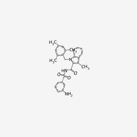 Cc1cc(C)c(Cn2c(C(=O)NS(=O)(=O)c3cccc(N)c3)c(C)c3ccccc32)c(C)c1